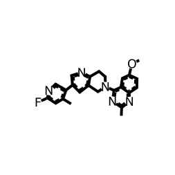 COc1ccc2nc(C)nc(N3CCc4ncc(-c5cnc(F)cc5C)cc4C3)c2c1